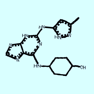 Cc1cc(Nc2nc(NC3CCC(O)CC3)c3ncnc-3[nH]2)[nH]n1